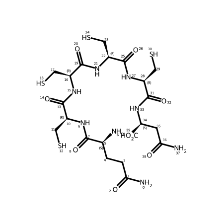 NC(=O)CC[C@H](N)C(=O)N[C@@H](CS)C(=O)N[C@@H](CS)C(=O)N[C@@H](CS)C(=O)N[C@@H](CS)C(=O)N[C@@H](CC(N)=O)C(=O)O